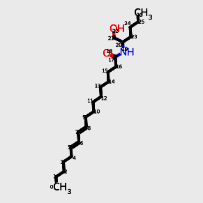 CCCCCC=CC=CCCCCCCCCC(=O)NC(CO)CCCC